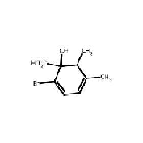 CC1=CC=C(Br)C(O)(C(=O)O)C1C